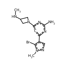 CNC1CN(c2cc(-c3cnn(C)c3Br)nc(N)n2)C1